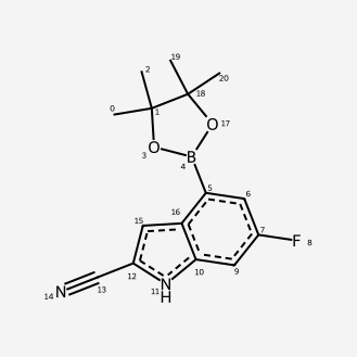 CC1(C)OB(c2cc(F)cc3[nH]c(C#N)cc23)OC1(C)C